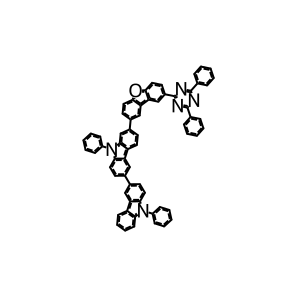 c1ccc(-c2nc(-c3ccccc3)nc(-c3ccc4oc5ccc(-c6ccc7c8cc(-c9ccc%10c(c9)c9ccccc9n%10-c9ccccc9)ccc8n(-c8ccccc8)c7c6)cc5c4c3)n2)cc1